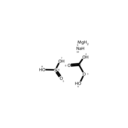 O=C(O)OO.O=[Si](O)O.[MgH2].[NaH]